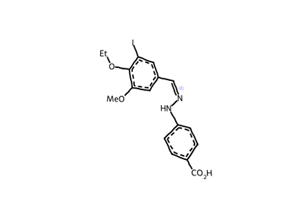 CCOc1c(I)cc(/C=N\Nc2ccc(C(=O)O)cc2)cc1OC